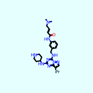 CC(C)c1cnn2c(NCc3cccc(NC(=O)/C=C/CN(C)C)c3)nc(NC3CCNCC3)nc12